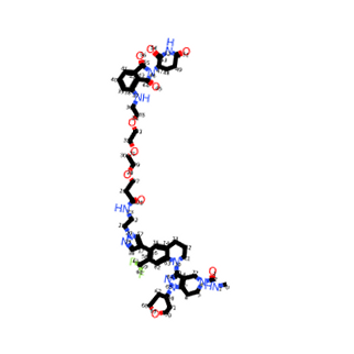 CNC(=O)N1CCc2c(c(N3CCCc4cc(-c5cnn(CCNC(=O)CCOCCOCCOCCNc6cccc7c6C(=O)N(C6CCC(=O)NC6=O)C7=O)c5)c(C(F)F)cc43)nn2C2CCOCC2)C1